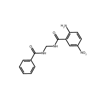 Nc1ccc([N+](=O)[O-])cc1C(=O)NCNC(=O)c1ccccc1